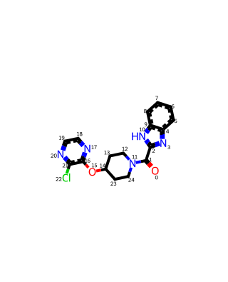 O=C(c1nc2ccccc2[nH]1)N1CCC(Oc2nccnc2Cl)CC1